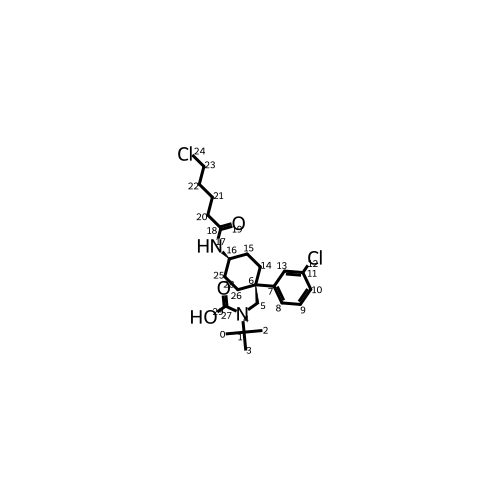 CC(C)(C)N(C[C@]1(c2cccc(Cl)c2)CC[C@H](NC(=O)CCCCCl)CC1)C(=O)O